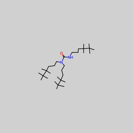 CC(C)(C)C(C)(C)CCCNC(=O)N(CCCC(C)(C)C(C)(C)C)CCCC(C)(C)C(C)(C)C